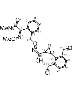 CNC(=O)C(=NOC)c1ccccc1CON=C(C)C1CC1c1c(CCl)cccc1CCl